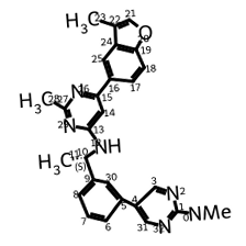 CNc1ncc(-c2cccc([C@H](C)Nc3cc(-c4ccc5occ(C)c5c4)nc(C)n3)c2)cn1